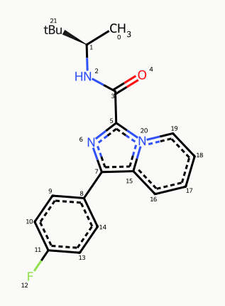 C[C@@H](NC(=O)c1nc(-c2ccc(F)cc2)c2ccccn12)C(C)(C)C